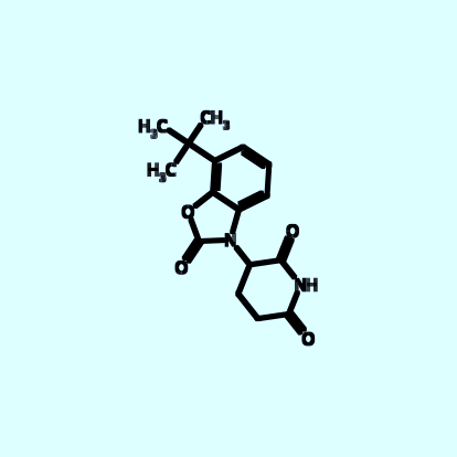 CC(C)(C)c1cccc2c1oc(=O)n2C1CCC(=O)NC1=O